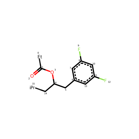 CCC(=O)OC(Cc1cc(F)cc(F)c1)CC(C)C